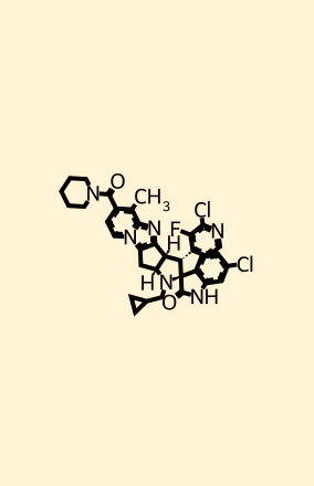 Cc1c(C(=O)N2CCCCC2)ccn2c3c(nc12)[C@@H]1[C@H](C3)N(CC2CC2)[C@@]2(C(=O)Nc3cc(Cl)ccc32)[C@H]1c1ccnc(Cl)c1F